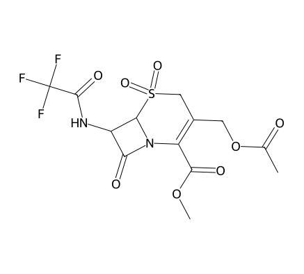 COC(=O)C1=C(COC(C)=O)CS(=O)(=O)C2C(NC(=O)C(F)(F)F)C(=O)N12